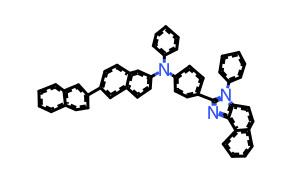 c1ccc(N(c2ccc(-c3nc4c5ccccc5ccc4n3-c3ccccc3)cc2)c2ccc3cc(-c4ccc5ccccc5c4)ccc3c2)cc1